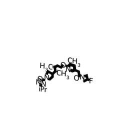 Cc1cc(CC(=O)N2CC(F)C2)cnc1OCC[C@H](C)[C@H](C)C1CCN(c2nc(C(C)C)no2)CC1